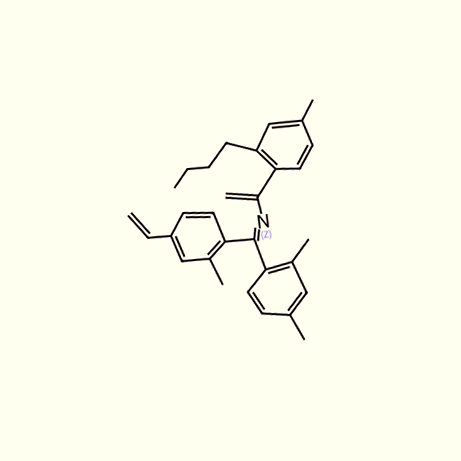 C=Cc1ccc(/C(=N\C(=C)c2ccc(C)cc2CCCC)c2ccc(C)cc2C)c(C)c1